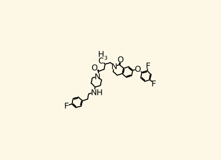 CC(CC(=O)N1CCC(NCCc2ccc(F)cc2)CC1)CN1CCc2ccc(Oc3ccc(F)cc3F)cc2C1=O